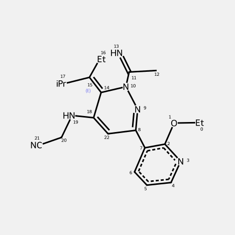 CCOc1ncccc1C1=NN(C(C)=N)/C(=C(\CC)C(C)C)C(NCC#N)=C1